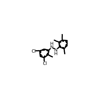 Cc1ccc(C)c(NNc2cc(Cl)cc(Cl)c2C)c1C